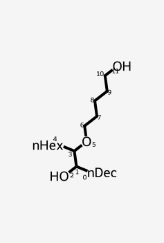 CCCCCCCCCCC(O)C(CCCCCC)OCCCCCO